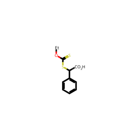 CCOC(=S)SC(C(=O)O)c1ccccc1